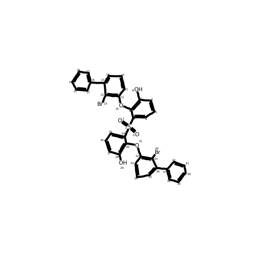 O=S(=O)(c1cccc(O)c1Oc1cccc(-c2ccccc2)c1Br)c1cccc(O)c1Oc1cccc(-c2ccccc2)c1Br